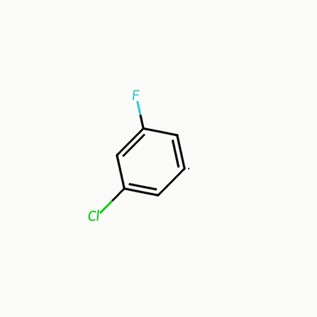 Fc1c[c]cc(Cl)c1